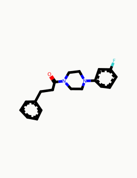 O=C(CCc1ccccc1)N1CCN(c2cccc(F)c2)CC1